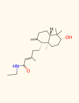 C=C1CC[C@@H]2C(C)(C)[C@H](O)CC[C@@]2(C)[C@@H]1CC/C(C)=C/C(=O)NCC